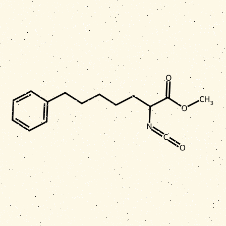 COC(=O)C(CCCCCc1ccccc1)N=C=O